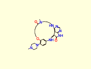 CN1CCN(c2ccc3cc2OCCCCC(=O)N(C)CCCNc2ncnc4c2/C(=C/N3)C(=O)N4)CC1